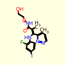 C/C(C(=O)NOCCO)=C(/Nc1ccc(I)cc1F)c1nnccc1C